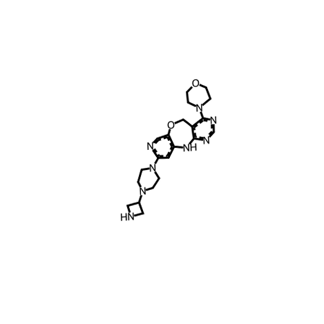 c1nc2c(c(N3CCOCC3)n1)COc1cnc(N3CCN(C4CNC4)CC3)cc1N2